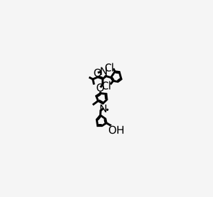 Cc1cc(OCc2c(-c3c(Cl)cccc3Cl)noc2C(C)C)ccc1N(C)Cc1cccc(CO)c1